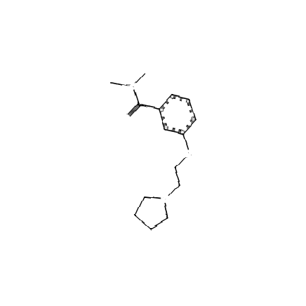 CN(C)C(=O)c1cccc(NCCN2CCCC2)c1